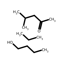 CC(=O)CC(C)C.CCC.CCCCO